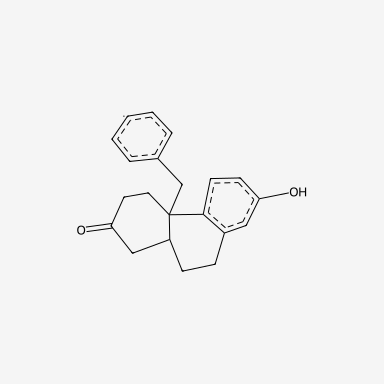 O=C1CCC2(Cc3cc[c]cc3)c3ccc(O)cc3CCC2C1